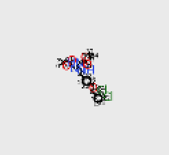 CC(C)(C)OC(=O)N=C(NCc1ccc(OCc2cccc(Cl)c2Cl)cc1)NC(=O)OC(C)(C)C